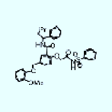 COc1ccccc1OCc1ccc(OCC(=O)NS(=O)(=O)c2ccccc2)c(C(=O)NC(CC(C)C)c2ccccc2)c1